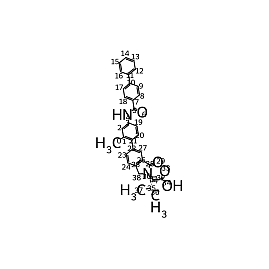 Cc1cc(NC(=O)c2ccc(-c3ccccc3)cc2)ccc1-c1ccc2c(c1)C(=O)N([C@H](C(=O)O)C(C)C)C2